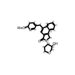 COC1CC=C(Cc2cc3c(c4ccccc24)CN([C@H]2CCOC[C@@H]2O)C3=O)C=N1